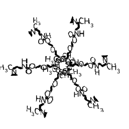 CC(CCNC(=O)OCCOCCC[Si]1(C)O[Si](C)(CCCOCCOC(=O)NCCC(C)N2CC2)O[Si](C)(CCCOCCOC(=O)NCCC(C)N2CC2)O[Si](C)(CCCOCCOC(=O)NCCC(C)N2CC2)O[Si](C)(CCCOCCOC(=O)NCCC(C)N2CC2)O[Si](C)(CCCOCCOC(=O)NCCC(C)N2CC2)O1)N1CC1